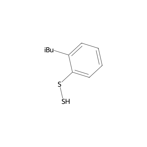 CCC(C)c1ccccc1SS